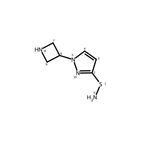 NSc1ccn(C2CNC2)n1